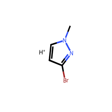 Cn1ccc(Br)n1.[H+]